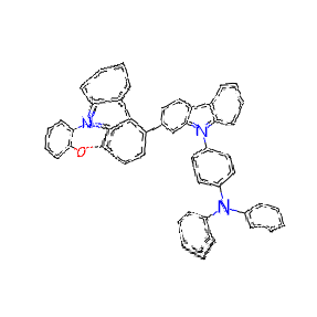 c1ccc(N(c2ccccc2)c2ccc(-n3c4ccccc4c4ccc(-c5ccc6c7c5c5ccccc5n7-c5ccccc5O6)cc43)cc2)cc1